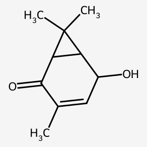 CC1=CC(O)C2C(C1=O)C2(C)C